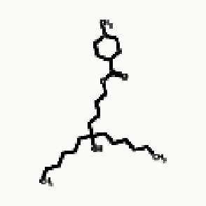 CCCCCCC(O)(CCCCCC)CCCCOC(=O)C1CCN(C)CC1